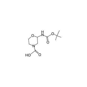 CC(C)(C)OC(=O)NC1CN(C(=O)O)CCO1